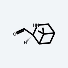 CC1(C)C2CN[C@H](C=O)C1C2